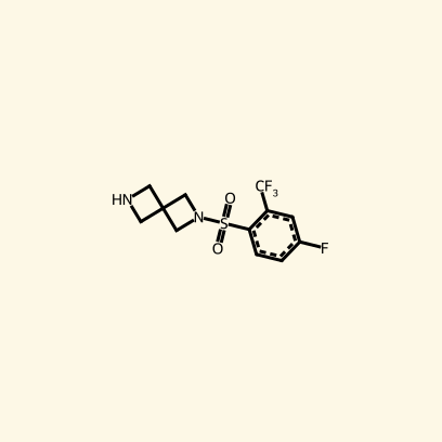 O=S(=O)(c1ccc(F)cc1C(F)(F)F)N1CC2(CNC2)C1